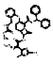 CO/N=C(\C(=O)NC1C(=O)N2C(C(=O)OC(c3ccccc3)c3ccccc3)=C(Sc3cccnc3CNC(=O)OC(C)(C)C)CCC12)c1nc(N)sc1Cl